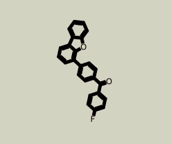 O=C(c1ccc(F)cc1)c1ccc(-c2cccc3c2oc2ccccc23)cc1